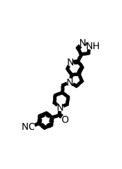 N#Cc1ccc(C(=O)N2CCC(CN3CCC4=CC(C5C=NNC5)=NCC43)CC2)cc1